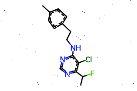 Cc1ccc(CCNc2ncnc(C(C)F)c2Cl)cc1